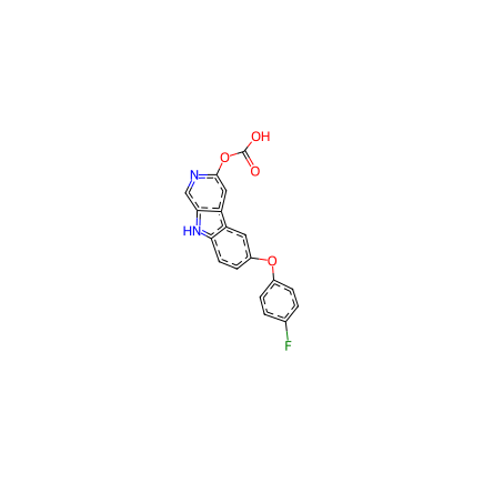 O=C(O)Oc1cc2c(cn1)[nH]c1ccc(Oc3ccc(F)cc3)cc12